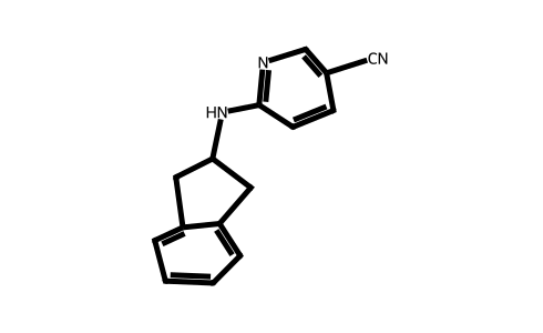 N#Cc1ccc(NC2Cc3ccccc3C2)nc1